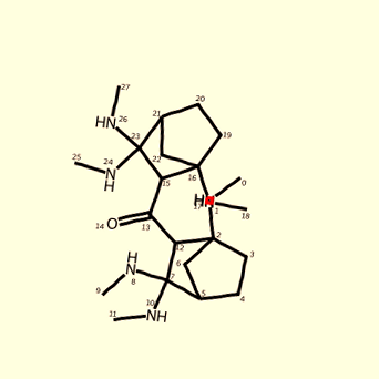 CNC12CCC(C1)C(NC)(NC)C2C(=O)C1C2(NC)CCC(C2)C1(NC)NC